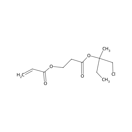 C=CC(=O)OCCC(=O)OC(C)(CC)CCl